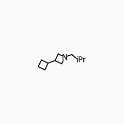 CC(C)CN1CC(C2CCC2)C1